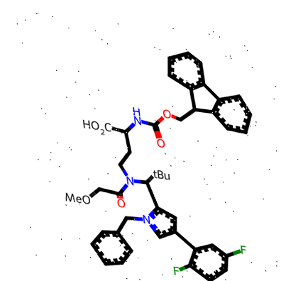 COCC(=O)N(CCC(NC(=O)OCC1c2ccccc2-c2ccccc21)C(=O)O)C(c1cc(-c2cc(F)ccc2F)cn1Cc1ccccc1)C(C)(C)C